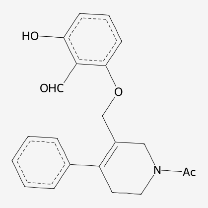 CC(=O)N1CCC(c2ccccc2)=C(COc2cccc(O)c2C=O)C1